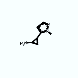 Cn1nccc1C1C[C@H]1N